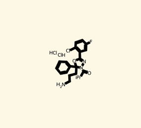 CC(C)C(=O)N1N=C(c2cc(F)ccc2Cl)OC1(CCCN)c1ccccc1.Cl.Cl